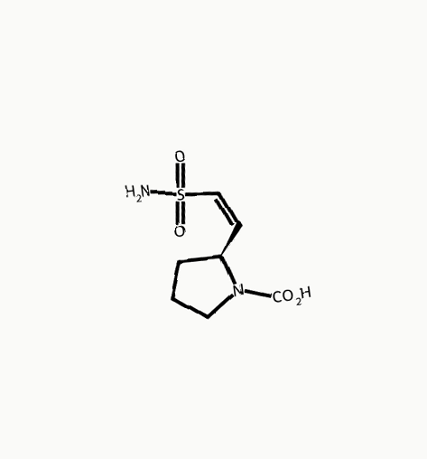 NS(=O)(=O)/C=C\[C@@H]1CCCN1C(=O)O